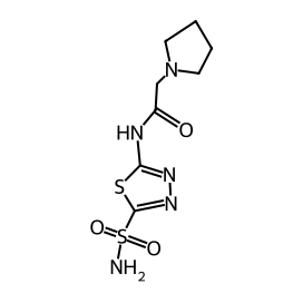 NS(=O)(=O)c1nnc(NC(=O)CN2CCCC2)s1